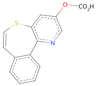 O=C(O)Oc1cnc2c(c1)SC=Cc1ccccc1-2